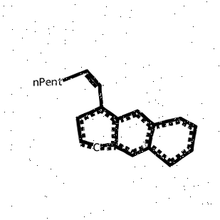 CCCCC/C=[C]\c1cccc2cc3ccccc3cc12